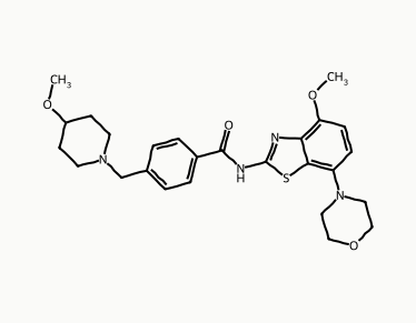 COc1ccc(N2CCOCC2)c2sc(NC(=O)c3ccc(CN4CCC(OC)CC4)cc3)nc12